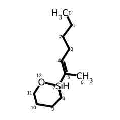 CCCCC=C(C)[SiH]1CCCCO1